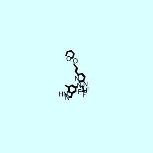 Cc1cc(-n2c(C(F)(F)F)nc3ccc(C=CCOC4CCCCO4)nc32)cc2cn[nH]c12